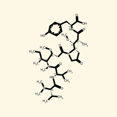 CC[C@H](C)[C@@H]([C@@H](CC(=O)N1CC(=O)C[C@H]1[C@H](OC)[C@@H](C)C(=O)N[C@@H](Cc1ccc(O)cc1)C(=O)O)OC)N(C)C(=O)[C@@H](NC(=O)[C@H](C(C)C)N(C)C)C(C)C